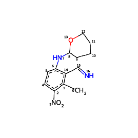 Cc1c([N+](=O)[O-])ccc(NC2CCCCO2)c1C=N